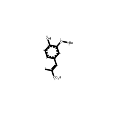 CCCCOc1cc(/C=C(\C)C(=O)O)ccc1O